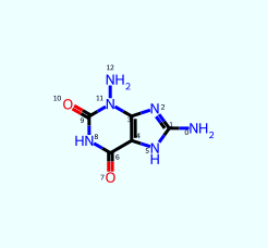 Nc1nc2c([nH]1)c(=O)[nH]c(=O)n2N